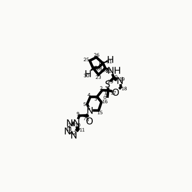 CC1(CC2CCN(C(=O)Cn3cnnn3)CC2)OCN=C(N[C@H]2C[C@@H]3CC[C@H]2C3)S1